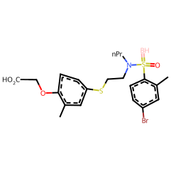 B=S(=O)(c1ccc(Br)cc1C)N(CCC)CCSc1ccc(OCC(=O)O)c(C)c1